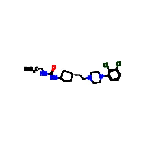 CCOC(=O)CNC(=O)N[C@H]1CC[C@H](CCN2CCN(c3cccc(Cl)c3Cl)CC2)CC1